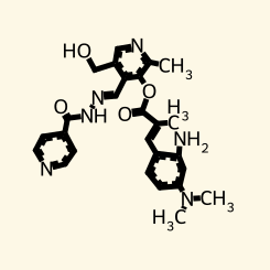 C/C(=C\c1ccc(N(C)C)cc1N)C(=O)Oc1c(C)ncc(CO)c1/C=N/NC(=O)c1ccncc1